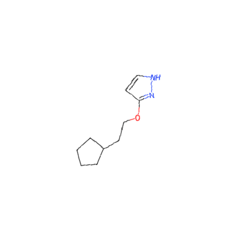 c1cc(OCCC2CCCC2)n[nH]1